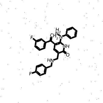 C=C(c1cccc(F)c1)c1cc(CNCc2ccc(F)cc2)c(=O)[nH]c1N(N)c1ccccc1